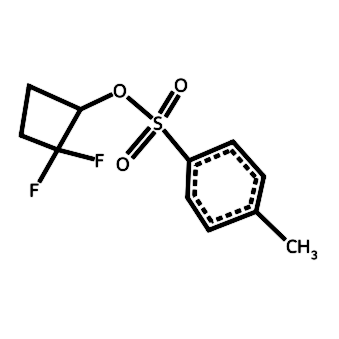 Cc1ccc(S(=O)(=O)OC2CCC2(F)F)cc1